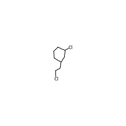 ClCCC1CCCC(Cl)C1